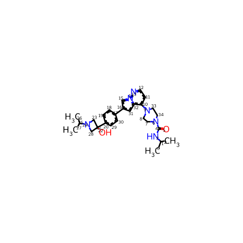 CC(C)NC(=O)N1CCN(c2ccnn3cc(-c4ccc(C5(O)CN(C(C)C)C5)cc4)cc23)CC1